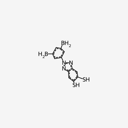 Bc1cc(B)cc(-n2nc3cc(S)c(S)cc3n2)c1